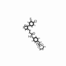 O=C(CCc1cnoc1-c1ccc(Cl)c(F)c1)Nc1ccc(CP2(=O)OCCCO2)cc1